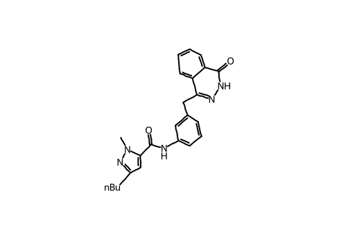 CCCCc1cc(C(=O)Nc2cccc(Cc3n[nH]c(=O)c4ccccc34)c2)n(C)n1